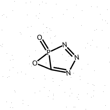 O=P12N=NN=C1O2